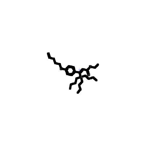 C=CCCCOc1ccc(/[C](=C/C(=O)OCC)[Sn]([CH2]CCC)([CH2]CCC)[CH2]CCC)cc1